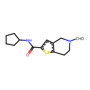 O=CN1CCc2sc(C(=O)NC3CCCC3)cc2C1